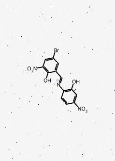 O=[N+]([O-])c1ccc(/N=C/c2cc(Br)cc([N+](=O)[O-])c2O)c(O)c1